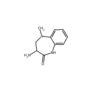 CN1CC(N)C(=O)Nc2ccccc21